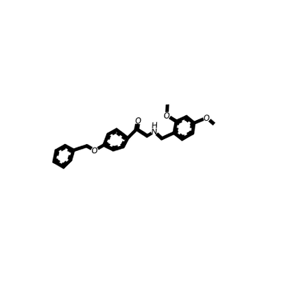 COc1ccc(CNCC(=O)c2ccc(OCc3ccccc3)cc2)c(OC)c1